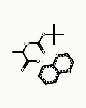 CC(NC(=O)OC(C)(C)C)C(=O)O.c1ccc2nccnc2c1